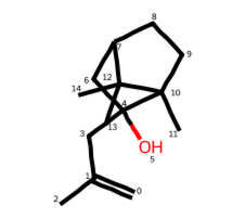 C=C(C)CC1(O)CC2CCC1(C)C2(C)C